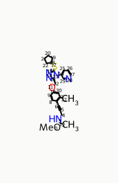 COC(C)NCC#Cc1ccc(OCc2nnc(SC3CCCC3)n2-c2cccnc2)cc1C